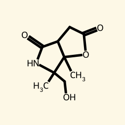 CC1(CO)NC(=O)C2CC(=O)OC21C